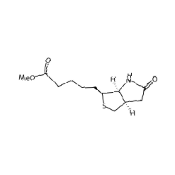 COC(=O)CCCC[C@@H]1SC[C@@H]2CC(=O)N[C@@H]21